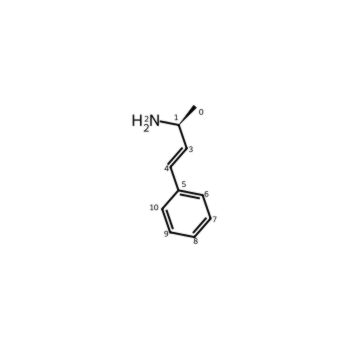 C[C@H](N)C=Cc1ccccc1